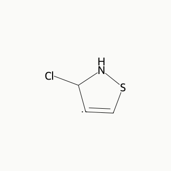 ClC1[C]=CSN1